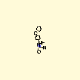 CC(=O)/C(C#N)=N/Nc1ccc(Oc2ccccc2)cc1